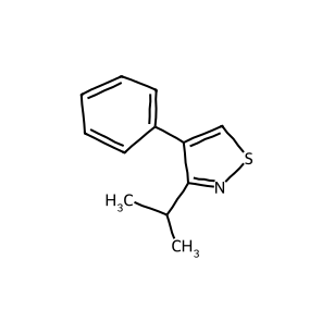 CC(C)c1nscc1-c1ccccc1